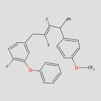 CC(C)C(C(F)=C(F)Cc1ccc(F)c(Oc2ccccc2)c1)c1ccc(OC(F)(F)F)cc1